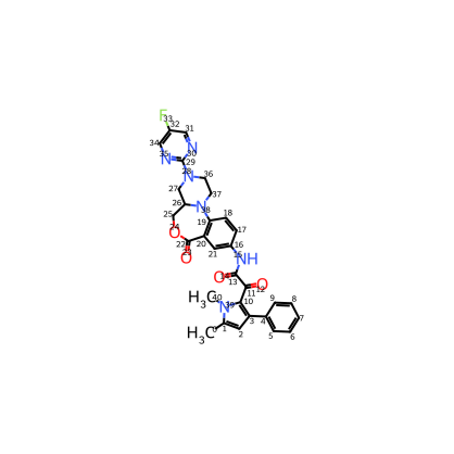 Cc1cc(-c2ccccc2)c(C(=O)C(=O)Nc2ccc3c(c2)C(=O)OCC2CN(c4ncc(F)cn4)CCN32)n1C